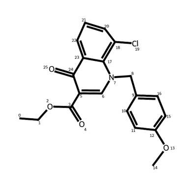 CCOC(=O)c1cn(Cc2ccc(OC)cc2)c2c(Cl)cccc2c1=O